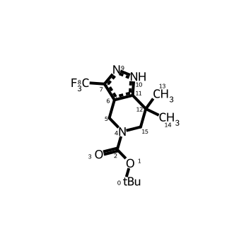 CC(C)(C)OC(=O)N1Cc2c(C(F)(F)F)n[nH]c2C(C)(C)C1